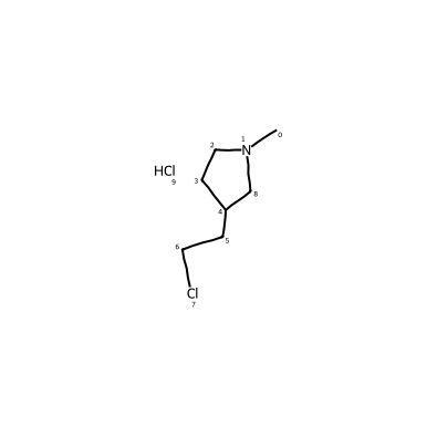 CN1CCC(CCCl)C1.Cl